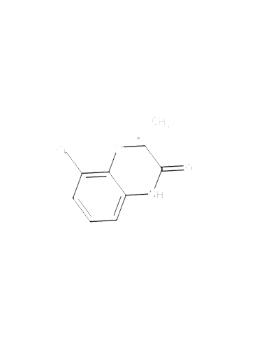 C[C@H]1Oc2c(Cl)cccc2NC1=O